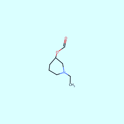 CCN1CCCC(O[C]=O)C1